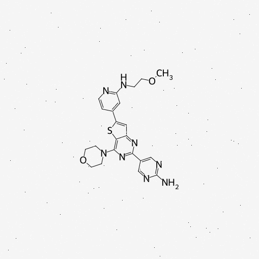 COCCNc1cc(-c2cc3nc(-c4cnc(N)nc4)nc(N4CCOCC4)c3s2)ccn1